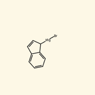 [Br][Mg][CH]1C=Cc2ccccc21